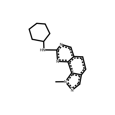 Cn1n[c]c2ccc3cnc(NC4CCCCC4)nc3c21